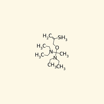 C=C([SiH3])COC(C)(N(CC)CC)N(CC)CC